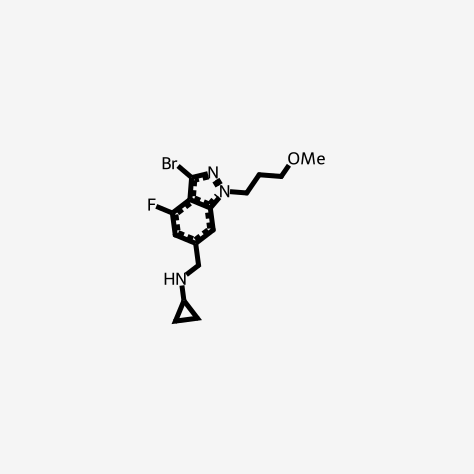 COCCCn1nc(Br)c2c(F)cc(CNC3CC3)cc21